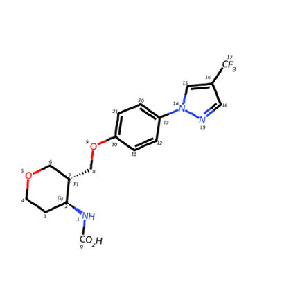 O=C(O)N[C@H]1CCOC[C@@H]1COc1ccc(-n2cc(C(F)(F)F)cn2)cc1